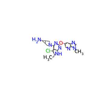 CCc1[nH]c2nc(Oc3cnc4c(c3)ncn4C)nc(N3CC4C(N)C4C3)c2c1Cl